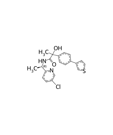 C[C@@H](NC(=O)C(C)(O)c1ccc(-c2ccsc2)cc1)c1ccc(Cl)cn1